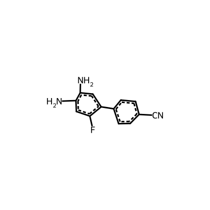 N#Cc1ccc(-c2cc(N)c(N)cc2F)cc1